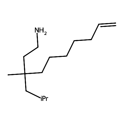 C=CCCCCCC(C)(CCN)CC(C)C